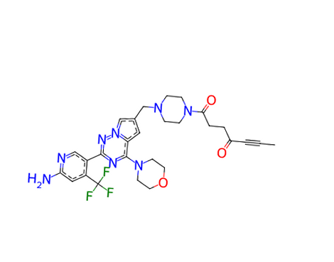 CC#CC(=O)CCC(=O)N1CCN(Cc2cc3c(N4CCOCC4)nc(-c4cnc(N)cc4C(F)(F)F)nn3c2)CC1